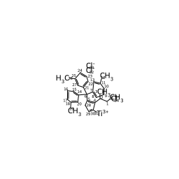 CCC(C)C1=C(C(c2cccc(C)c2)(c2cccc(C)c2)c2cccc(C)c2)CC=[C]1[Ti+3].[Cl-].[Cl-].[Cl-]